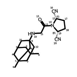 CC12CC3CC(C)(C1)CC(NCC(=O)N1[C@H](C#N)CC[C@@H]1C#N)(C3)C2